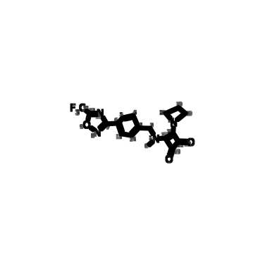 CN(Cc1ccc(-c2noc(C(F)(F)F)n2)cc1)c1c(N2CCC2)c(=O)c1=O